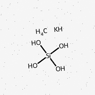 C.O[Si](O)(O)O.[KH]